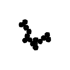 c1ccc(-c2ccc(-c3ccc4c5cc(-c6cccc(-c7ccc(-n8c9ccccc9c9ccccc98)cc7)c6)ccc5c5ccccc5c4c3)c3c2sc2c(-c4cccc(-c5ccc6c7ccccc7c7ccccc7c6c5)c4)cccc23)cc1